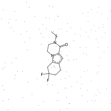 CSN1CCn2c(cc3c2CC(F)(F)CC3)C1=O